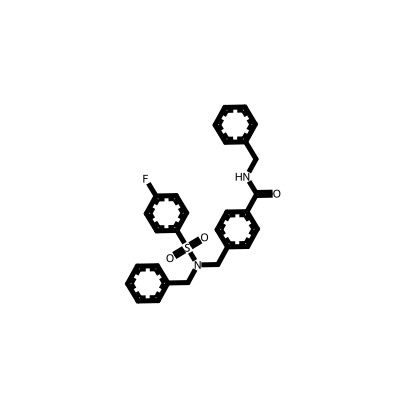 O=C(NCc1ccccc1)c1ccc(CN(Cc2ccccc2)S(=O)(=O)c2ccc(F)cc2)cc1